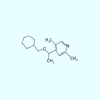 Cc1cc(C(C)OCC2CCCCC2)c(C)cn1